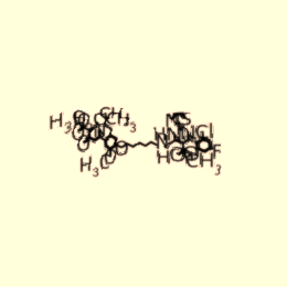 COC(=O)C1=C(CNCCCCCCOc2cc3c(cc2OC)-c2cc(=O)c(C(=O)OC)cn2C(C(C)(C)C)C3)NC(c2nccs2)=N[C@H]1c1ccc(F)cc1Cl